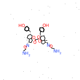 C[C@]12CC[C@H](Cc3ccc(O)cc3)C[C@@]1(OC(=O)C(=O)O[C@]13CC[C@H](C=NOCCN)[C@@]1(C)CC[C@H](Cc1ccc(O)cc1)C3)CC[C@@H]2C=NOCCN